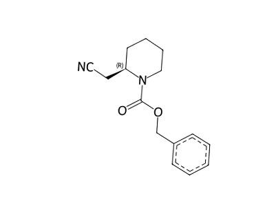 N#CC[C@H]1CCCCN1C(=O)OCc1ccccc1